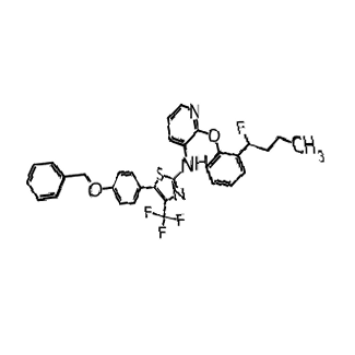 CCCC(F)c1ccccc1Oc1ncccc1Nc1nc(C(F)(F)F)c(-c2ccc(OCc3ccccc3)cc2)s1